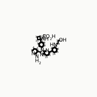 Nc1ncccc1-c1nc2ccc(-c3cccc(NCCO)c3)nc2n1-c1ccc(C2(NC(=O)O)CCC2)cc1